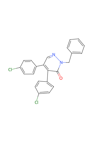 O=c1c(-c2ccc(Cl)cc2)c(-c2ccc(Cl)cc2)cnn1Cc1ccccc1